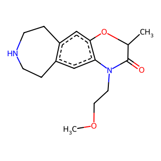 COCCN1C(=O)C(C)Oc2cc3c(cc21)CCNCC3